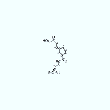 CCC(CO)COc1cccc(C(=O)NCCN(CC)CC)c1